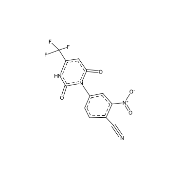 N#Cc1ccc(-n2c(=O)cc(C(F)(F)F)[nH]c2=O)cc1[N+](=O)[O-]